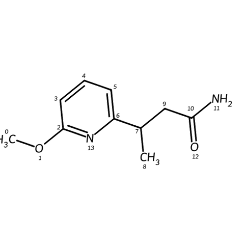 COc1cccc(C(C)CC(N)=O)n1